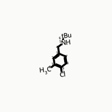 Cc1cc(CNC(C)(C)C)ccc1Cl